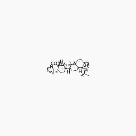 [CH2][C@]12CC[C@@H](C(=C)C)[C@@H]1[C@H]1CC[C@@H]3[C@@]4(C)CC[C@H](c5nccn5C(=O)O)C(C)(C)[C@@H]4CC[C@@]3(C)[C@]1(C)CC2